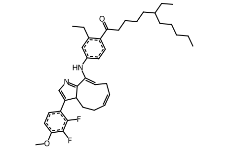 CCCCCC(CC)CCCCC(=O)c1ccc(N/C2=C\C/C=C\CCC3C(c4ccc(OC)c(F)c4F)=CN=C23)cc1CC